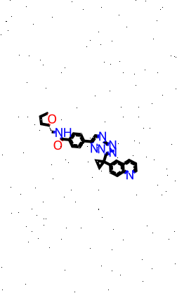 O=C(NC[C@@H]1CCCO1)c1ccc(-c2cnc3nnc(C4(c5ccc6ncccc6c5)CC4)n3n2)cc1